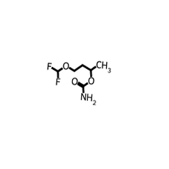 CC(CCOC(F)F)OC(N)=O